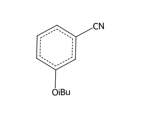 CC(C)COc1cccc(C#N)c1